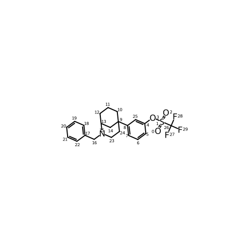 O=S(=O)(Oc1cccc(C23CCCC(C2)N(Cc2ccccc2)CC3)c1)C(F)(F)F